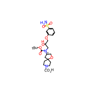 CC(C)(C)OC(=O)N(C[C@H](O)COc1cccc(S(N)(=O)=O)c1)[C@H]1COC2(CCN(C(=O)O)CC2)C1